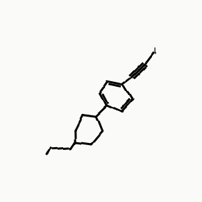 CCCC1CCC(c2ccc(C#CI)cc2)CC1